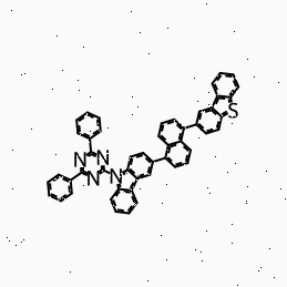 c1ccc(-c2nc(-c3ccccc3)nc(-n3c4ccccc4c4cc(-c5cccc6c(-c7ccc8sc9ccccc9c8c7)cccc56)ccc43)n2)cc1